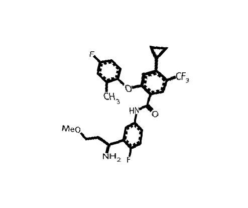 COCCC(N)c1cc(NC(=O)c2cc(C(F)(F)F)c(C3CC3)cc2Oc2ccc(F)cc2C)ccc1F